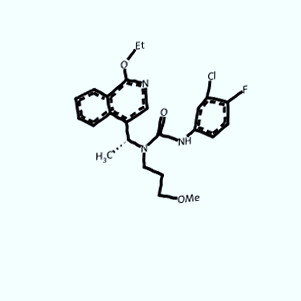 CCOc1ncc([C@@H](C)N(CCCOC)C(=O)Nc2ccc(F)c(Cl)c2)c2ccccc12